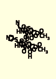 CC(=O)OCC1=C(C(=O)O)N2C(=O)[C@@H](NC(=O)CC#N)[C@H]2SC1.CC(=O)OCC1=C(C(=O)O)N2C(=O)[C@@H](NC(=O)CSc3ccncc3)[C@H]2SC1